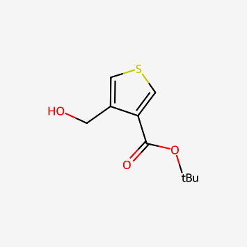 CC(C)(C)OC(=O)c1cscc1CO